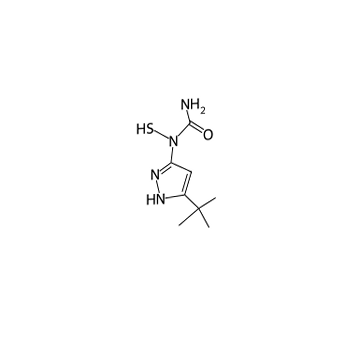 CC(C)(C)c1cc(N(S)C(N)=O)n[nH]1